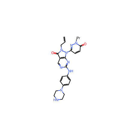 C=CCn1c(=O)c2cnc(Nc3ccc(N4CCNCC4)cc3)nc2n1-c1ccc(=O)n(C(C)C)n1